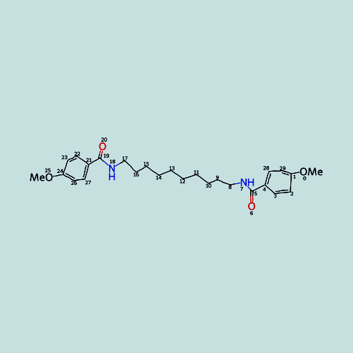 COc1ccc(C(=O)NCCCCCCCCCCNC(=O)c2ccc(OC)cc2)cc1